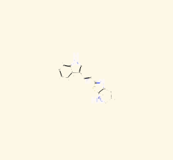 C(=C\c1c[nH]c2ccccc12)/c1nc2c(s1)NCCC2